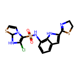 O=S(=O)(Nc1cccc2cc(C3=NCCS3)[nH]c12)C1=C(Cl)NC2SC=CN12